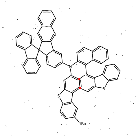 CC(C)(C)c1ccc2sc3cc(N(c4ccc5c(c4)-c4cc6ccccc6cc4C54c5ccccc5-c5ccccc54)c4ccc5ccccc5c4-c4cccc5sc6ccccc6c45)ccc3c2c1